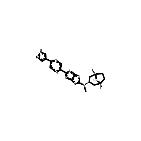 CN(c1nc2sc(-c3cnc(-c4cn[nH]c4)cn3)nc2s1)[C@@H]1C[C@H]2CC[C@@H](C1)N2